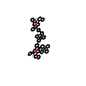 c1ccc(C2(c3ccccc3)c3ccccc3-c3c(N(c4ccc(-c5cccc6ccccc56)cc4)c4cc(-c5ccc6c(c5)-c5ccccc5C65c6ccccc6-c6c(-c7ccc(N(c8ccc(-c9cccc%10ccccc9%10)cc8)c8ccccc8-c8ccc9sc%10ccccc%10c9c8)cc7)cccc65)ccc4-c4ccc5sc6ccccc6c5c4)cccc32)cc1